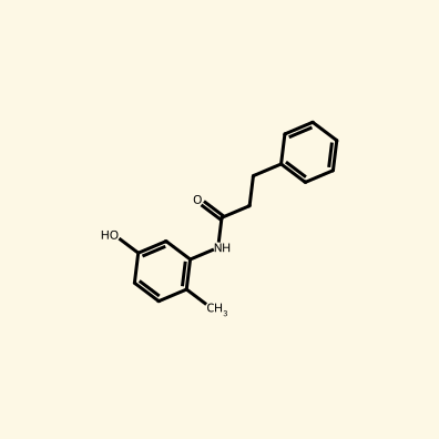 Cc1ccc(O)cc1NC(=O)CCc1ccccc1